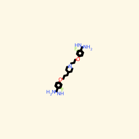 N=C(N)c1ccc(OCCCC2CCN(CCCOc3ccc(C(=N)N)c(F)c3)CC2)cc1F